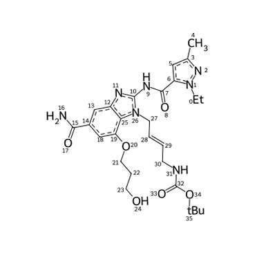 CCn1nc(C)cc1C(=O)Nc1nc2cc(C(N)=O)cc(OCCCO)c2n1C/C=C/CNC(=O)OC(C)(C)C